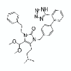 COC(OC)c1c(CCC(C)C)n(Cc2ccc(-c3ccccc3-c3nnn[nH]3)cc2)c(=O)n1CCc1ccccc1